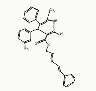 CC1=C(C(=O)OCC=CC=Cc2ccccc2)C(c2cccc([N+](=O)[O-])c2)C(c2ccccn2)=C(C)N1